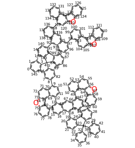 c1ccc(C2(c3ccc(-c4ccc(-c5cccc6c(-c7cccc8c7-c7ccccc7C8(c7ccccc7)c7ccccc7)c7cccc(-c8cccc9ccc%10oc%11ccccc%11c%10c89)c7cc56)c5c4ccc4oc6ccccc6c45)cc3)c3ccccc3-c3c(-c4c5cccc(-c6cccc7c6ccc6oc8ccccc8c67)c5cc5c(-c6cc7oc8ccccc8c7c7ccccc67)cccc45)cccc32)cc1